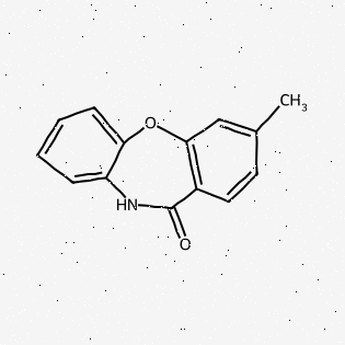 Cc1ccc2c(c1)Oc1ccccc1NC2=O